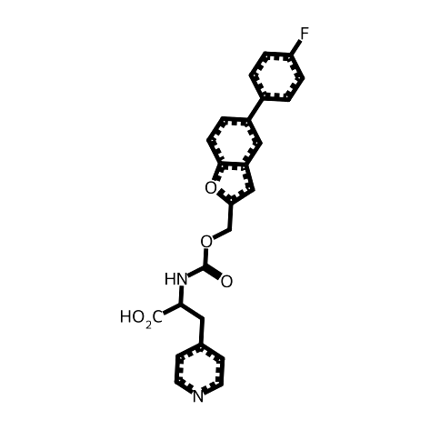 O=C(NC(Cc1ccncc1)C(=O)O)OCc1cc2cc(-c3ccc(F)cc3)ccc2o1